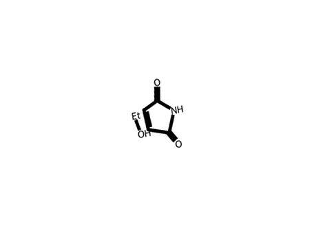 CCO.O=C1C=CC(=O)N1